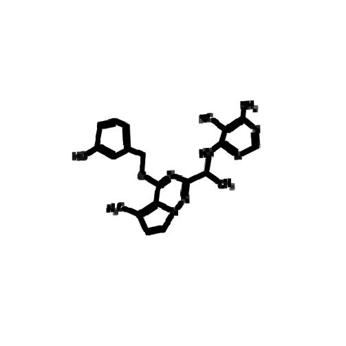 Cc1ccn2nc(C(C)Nc3ncnc(N)c3C#N)nc(OCc3cccc(O)c3)c12